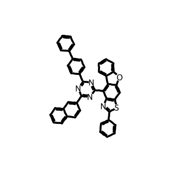 c1ccc(-c2ccc(-c3nc(-c4ccc5ccccc5c4)nc(-c4c5nc(-c6ccccc6)sc5cc5oc6ccccc6c45)n3)cc2)cc1